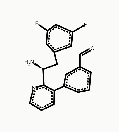 N[C@@H](Cc1cc(F)cc(F)c1)c1ncccc1-c1cccc(C=O)c1